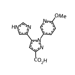 COc1ccc(-n2nc(C(=O)O)cc2-c2c[nH]cn2)cn1